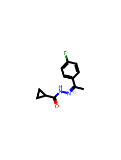 C/C(=N/NC(=O)C1CC1)c1ccc(F)cc1